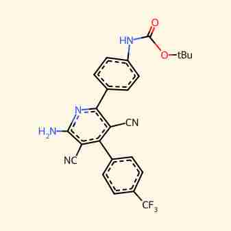 CC(C)(C)OC(=O)Nc1ccc(-c2nc(N)c(C#N)c(-c3ccc(C(F)(F)F)cc3)c2C#N)cc1